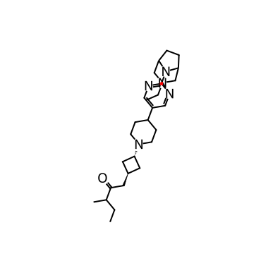 CCC(C)C(=O)C[C@H]1C[C@H](N2CCC(c3cnc(N4C5CCC4CN(CC)C5)nc3)CC2)C1